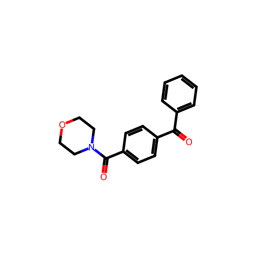 O=C(c1ccccc1)c1ccc(C(=O)N2CCOCC2)cc1